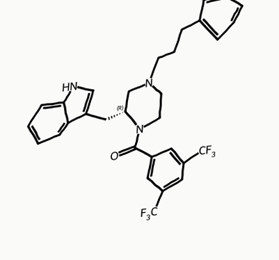 O=C(c1cc(C(F)(F)F)cc(C(F)(F)F)c1)N1CCN(CCCc2ccccc2)C[C@H]1Cc1c[nH]c2ccccc12